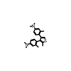 Cc1cc(N(C)C)ccc1-c1csc(C)c1-c1ccc(N(C)C)cc1C